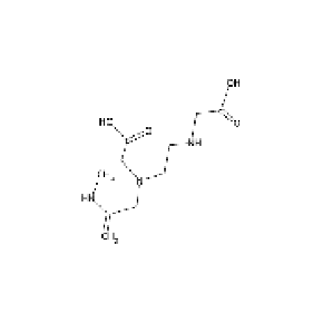 C=C(CN(CCNCC(=O)O)CC(=O)O)NC